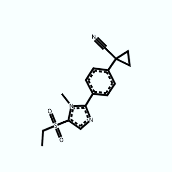 CCS(=O)(=O)c1cnc(-c2ccc(C3(C#N)CC3)cc2)n1C